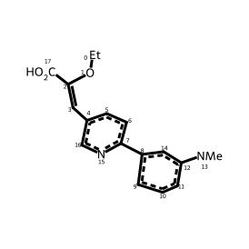 CCOC(=Cc1ccc(-c2cccc(NC)c2)nc1)C(=O)O